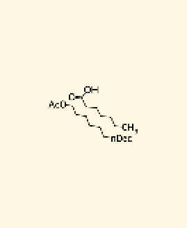 CCCCCCC(=O)O.CCCCCCCCCCCCCCCCOC(C)=O